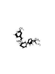 Cc1cc(CN[C@H]2CCCN(c3ccc(C(C)C)nc3)C2)ccn1